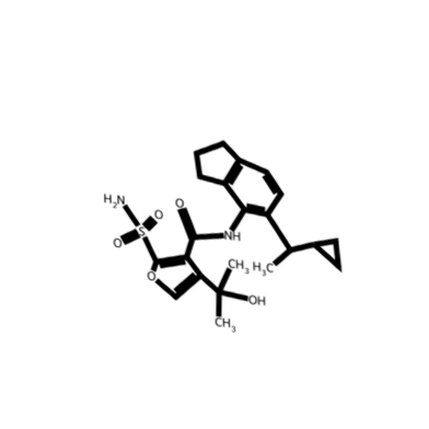 CC(c1ccc2c(c1NC(=O)c1c(C(C)(C)O)coc1S(N)(=O)=O)CCC2)C1CC1